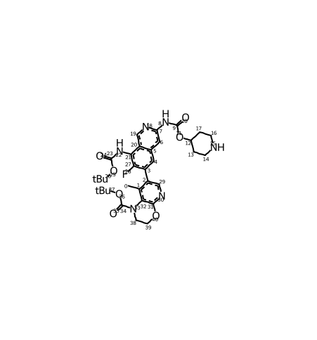 Cc1c(-c2cc3cc(NC(=O)OC4CCNCC4)ncc3c(NC(=O)OC(C)(C)C)c2F)cnc2c1N(C(=O)OC(C)(C)C)CCO2